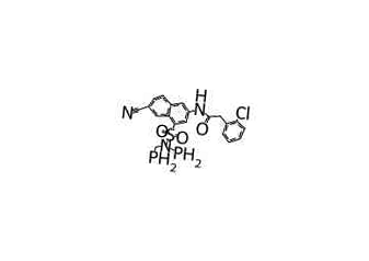 N#Cc1ccc2cc(NC(=O)Cc3ccccc3Cl)cc(S(=O)(=O)N(P)CP)c2c1